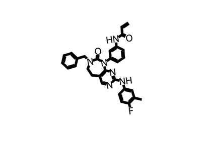 C=CC(=O)Nc1cccc(N2C(=O)N(Cc3ccccc3)CCc3cnc(Nc4ccc(F)c(C)c4)nc32)c1